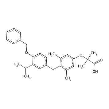 Cc1cc(OC(C)(C)C(=O)O)cc(C)c1Cc1ccc(OCc2ccccc2)c(C(C)C)c1